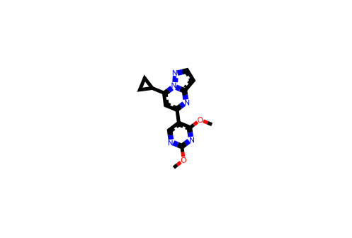 COc1ncc(-c2cc(C3CC3)n3nccc3n2)c(OC)n1